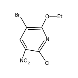 CCOc1nc(Cl)c([N+](=O)[O-])cc1Br